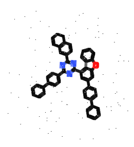 C1=Cc2cc(-c3nc(-c4ccc(-c5ccccc5)cc4)nc(-c4cc(-c5ccc(-c6ccccc6)cc5)cc5oc6ccccc6c45)n3)ccc2CC1